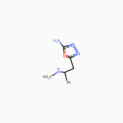 CC(C)C(Cc1nnc(N)o1)NC(=O)O